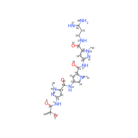 C=C(Br)C(=O)Nc1cc(C(=O)Nc2cc(C(=O)Nc3cc(C(=O)NCCC(=N)N)n(C)n3)n(C)c2)n(C)n1